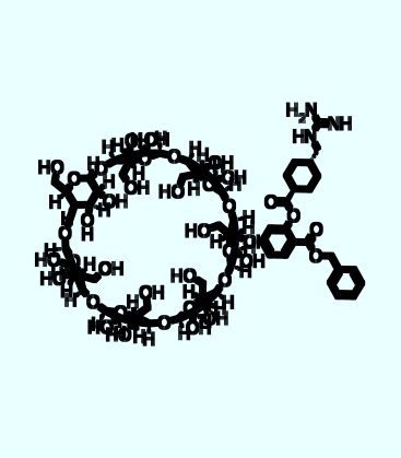 N=C(N)NC[C@H]1CC[C@H](C(=O)Oc2ccccc2C(=O)OCc2ccccc2)CC1.OC[C@H]1O[C@@H]2O[C@H]3[C@H](O)[C@@H](O)[C@@H](O[C@H]4[C@H](O)[C@@H](O)[C@@H](O[C@H]5[C@H](O)[C@@H](O)[C@@H](O[C@H]6[C@H](O)[C@@H](O)[C@@H](O[C@H]7[C@H](O)[C@@H](O)[C@@H](O[C@H]8[C@H](O)[C@@H](O)[C@@H](O[C@H]1[C@H](O)[C@H]2O)O[C@@H]8CO)O[C@@H]7CO)O[C@@H]6CO)O[C@@H]5CO)O[C@@H]4CO)O[C@@H]3CO